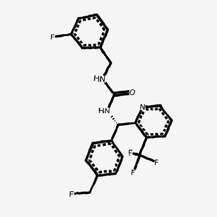 O=C(NCc1cccc(F)c1)N[C@@H](c1ccc(CF)cc1)c1ncccc1C(F)(F)F